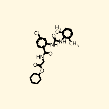 Cc1cccc(C)c1NC(=O)Nc1cc(Cl)ccc1C(=O)NCC(=O)OC1CCCCC1